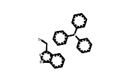 BrCc1n[nH]c2ccccc12.c1ccc(P(c2ccccc2)c2ccccc2)cc1